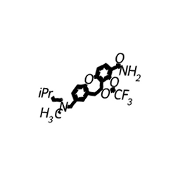 CC(C)CCN(C)Cc1ccc2c(c1)CCc1c(ccc(C(N)=O)c1OC(=O)C(F)(F)F)O2